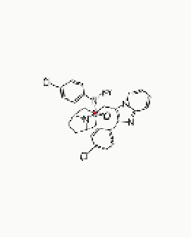 CC(C)N(C(=O)N1C2CCC1CN(Cc1c(-c3ccc(Cl)cc3)nc3ccccn13)C2)c1ccc(Cl)cc1